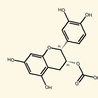 O=C(O)O[C@@H]1Cc2c(O)cc(O)cc2O[C@@H]1c1ccc(O)c(O)c1